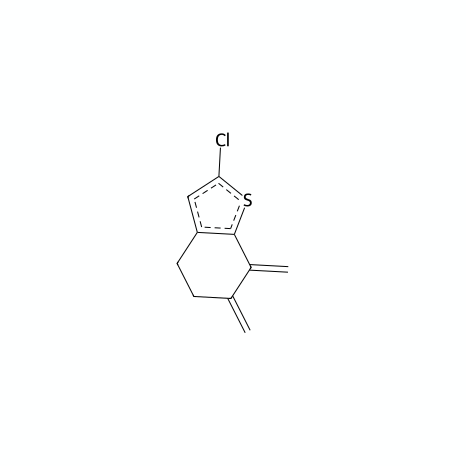 C=C1CCc2cc(Cl)sc2C1=C